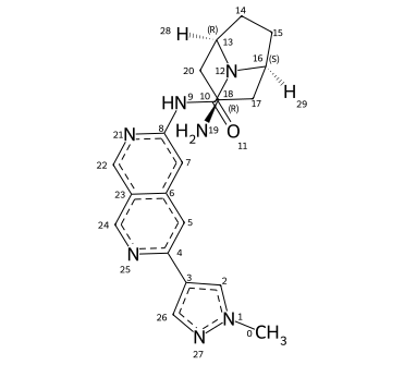 Cn1cc(-c2cc3cc(NC(=O)N4[C@@H]5CC[C@H]4C[C@@H](N)C5)ncc3cn2)cn1